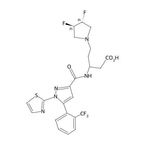 O=C(O)CC(CCN1C[C@@H](F)[C@H](F)C1)NC(=O)c1cc(-c2ccccc2C(F)(F)F)n(-c2nccs2)n1